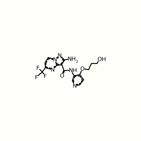 Nc1nn2ccc(C(F)(F)F)nc2c1C(=O)Nc1cnccc1OCCCO